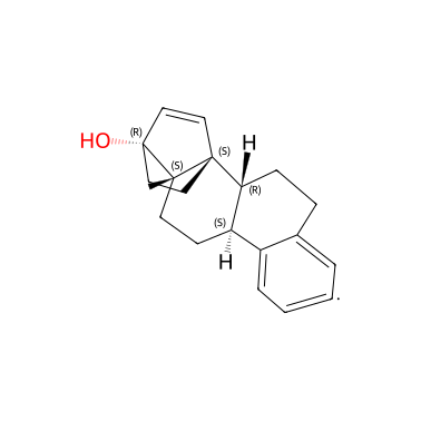 C[C@]12CC[C@@H]3c4cc[c]cc4CC[C@H]3[C@@]13C=C[C@]2(O)CC3